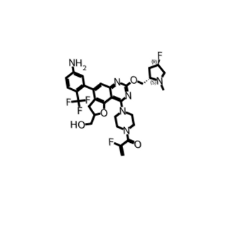 C=C(F)C(=O)N1CCN(c2nc(OC[C@@H]3C[C@@H](F)CN3C)nc3cc(-c4cc(N)ccc4C(F)(F)F)c4c(c23)OC(CO)C4)CC1